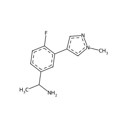 CC(N)c1ccc(F)c(-c2cnn(C)c2)c1